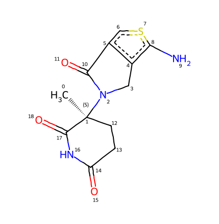 C[C@]1(N2Cc3c(csc3N)C2=O)CCC(=O)NC1=O